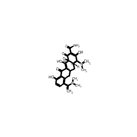 C=C(c1ccc(O)c2c1CC1C[C@H]3C(N(C)C)C(O)=C(C(N)=O)C(=O)C3(O)C(O)=C1C2=O)N(C)C